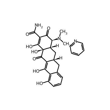 CN(C)[C@@H]1C(=O)C(C(N)=O)=C(O)[C@@]2(O)C(=O)C3=C(O)c4c(O)cccc4C[C@H]3C[C@@H]12.c1ccncc1